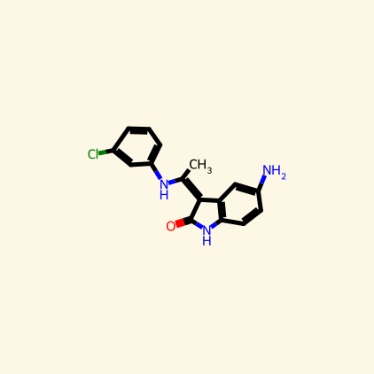 C/C(Nc1cccc(Cl)c1)=C1/C(=O)Nc2ccc(N)cc21